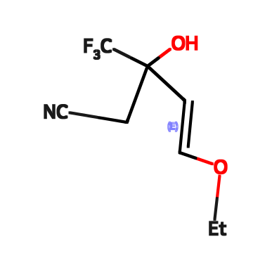 CCO/C=C/C(O)(CC#N)C(F)(F)F